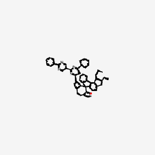 C=CC1=C(/C=C\C)c2c(ccc3c2-c2ccccc2C32c3ccccc3C=Cc3ccc(-c4cc(-c5ccccc5)nc(-c5cnc(-c6ccccc6)nc5)n4)cc32)C1